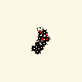 CC(C)(C)c1ccc2c(c1)C1(c3cc(C(C)(C)C)ccc3O2)c2ccccc2-c2ccc(N(c3ccc4c(c3)C3(c5ccccc5-c5ccccc53)c3ccccc3-4)c3cccc4c3sc3ccccc34)cc21